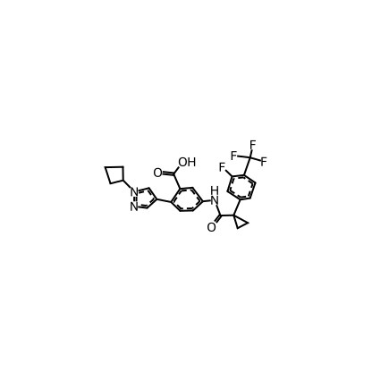 O=C(O)c1cc(NC(=O)C2(c3ccc(C(F)(F)F)c(F)c3)CC2)ccc1-c1cnn(C2CCC2)c1